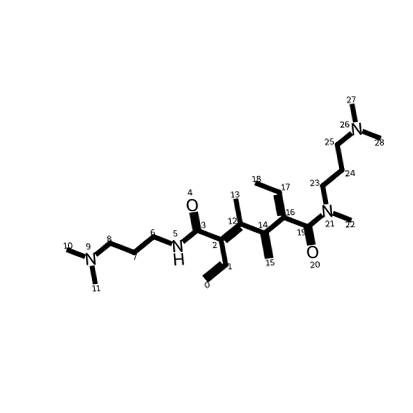 C=C/C(C(=O)NCCCN(C)C)=C(/C)C(=C)/C(=C\C)C(=O)N(C)CCCN(C)C